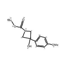 COc1ccc(C2(O)CN(C(=O)OC(C)(C)C)C2)cc1